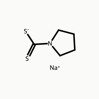 S=C([S-])N1CCCC1.[Na+]